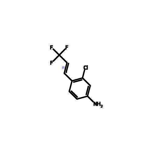 Nc1ccc(/C=C/C(F)(F)F)c(Cl)c1